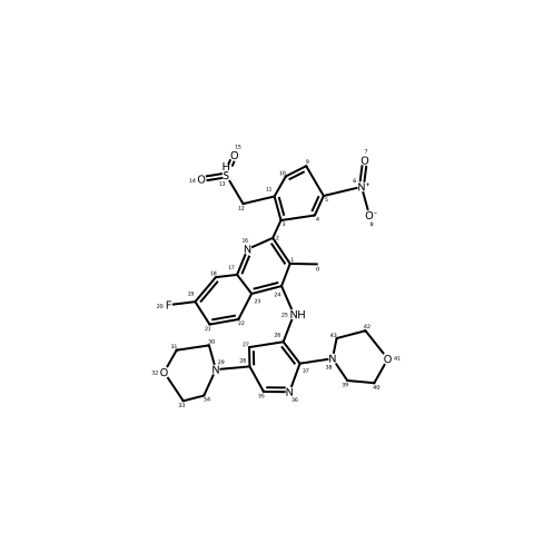 Cc1c(-c2cc([N+](=O)[O-])ccc2C[SH](=O)=O)nc2cc(F)ccc2c1Nc1cc(N2CCOCC2)cnc1N1CCOCC1